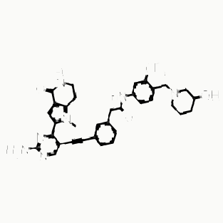 Cn1c(-c2nc(N)ncc2C#Cc2cccc(CC(=O)Nc3ccc(CN4CCCC(O)C4)c(C(F)(F)F)c3)c2)cc2c1CCNC2=O